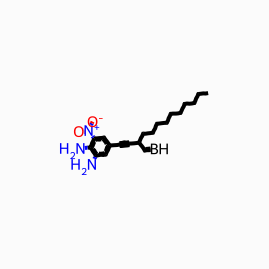 B=CC(C#Cc1cc(N)c(N)c([N+](=O)[O-])c1)CCCCCCCCCC